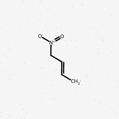 [CH2]C=CC[N+](=O)[O-]